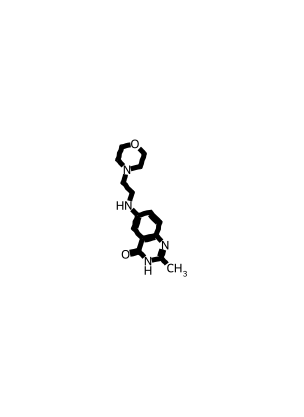 Cc1nc2ccc(NCCN3CCOCC3)cc2c(=O)[nH]1